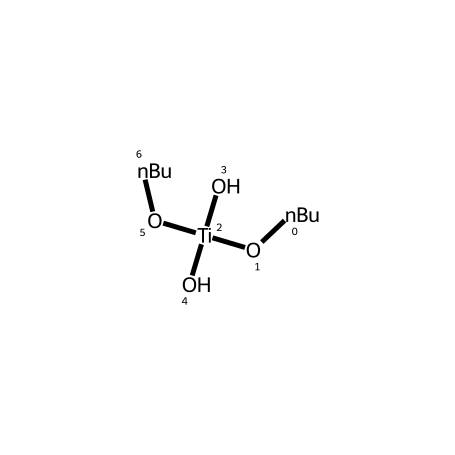 CCCC[O][Ti]([OH])([OH])[O]CCCC